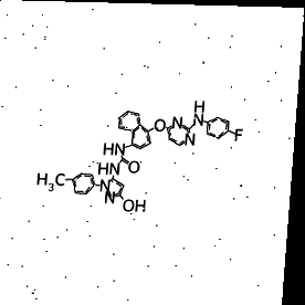 Cc1ccc(-n2nc(O)cc2NC(=O)Nc2ccc(Oc3ccnc(Nc4ccc(F)cc4)n3)c3ccccc23)cc1